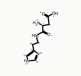 N[C@@H](CC(=O)O)C(=O)NCCc1c[nH]cn1